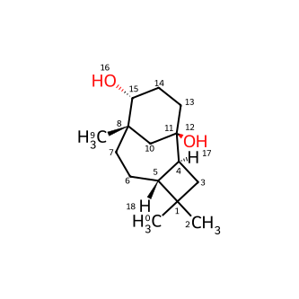 CC1(C)C[C@H]2[C@H]1CC[C@@]1(C)C[C@]2(O)CC[C@H]1O